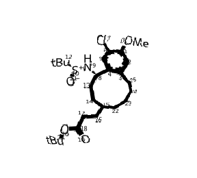 COc1cc2c(cc1Cl)[C@@H](N[S@+]([O-])C(C)(C)C)CCC(CCC(=O)OC(C)(C)C)CCCC2